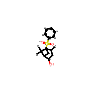 CC1CC(O)C2CC1(S(=O)(=O)c1ccccc1)C2(C)C